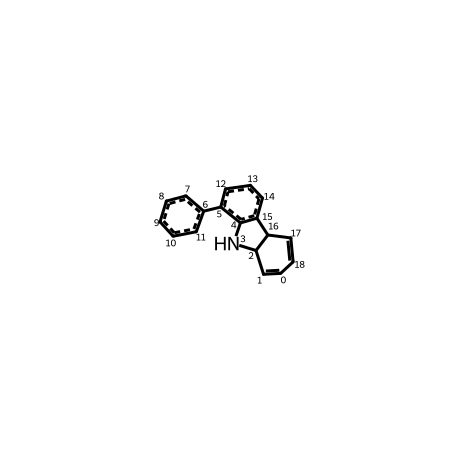 C1=CC2Nc3c(-c4ccccc4)cccc3C2C=C1